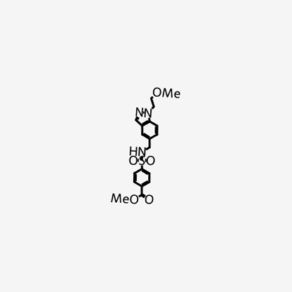 COCCn1ncc2cc(CNS(=O)(=O)c3ccc(C(=O)OC)cc3)ccc21